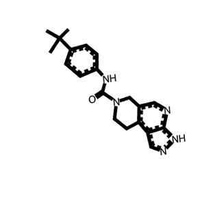 CC(C)(C)c1ccc(NC(=O)N2CCc3c(cnc4[nH]ncc34)C2)cc1